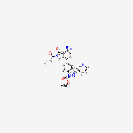 C/C=C/C(=O)N1Cc2c(-c3ccc4c(c3)c(-c3cccnc3)nn4C(=O)OC(C)(C)C)ccc(N)c2C1=O